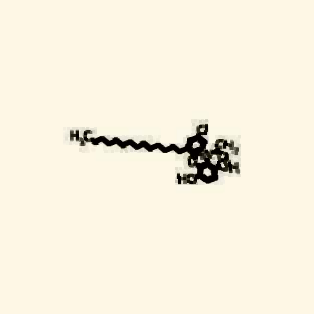 CCCCCCCCCCCCCCc1cc(Cl)ccc1Oc1c(O)ccc(O)c1NC(C)=O